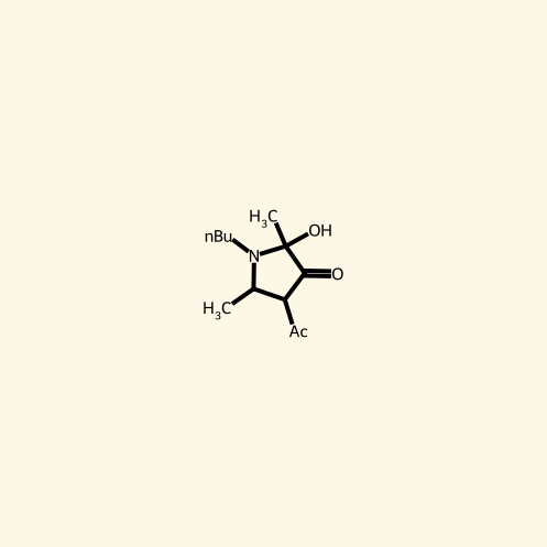 CCCCN1C(C)C(C(C)=O)C(=O)C1(C)O